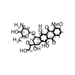 COc1cccc2c1C(=O)c1c(O)c3c(c(O)c1C2=O)C[C@@](O)(C(=O)CO)C[C@@H]3O[C@H]1CC(N)[C@H](O)C(C)O1